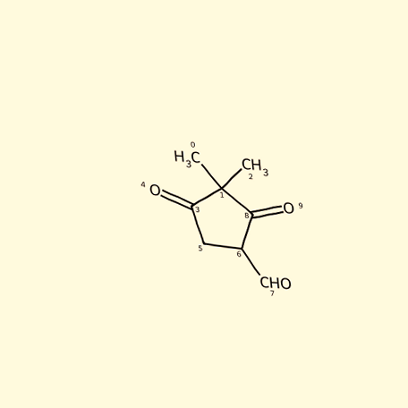 CC1(C)C(=O)CC(C=O)C1=O